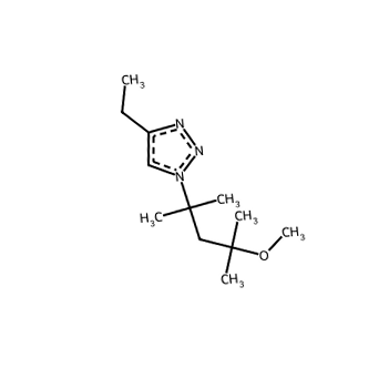 CCc1cn(C(C)(C)CC(C)(C)OC)nn1